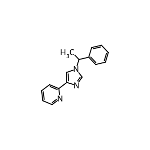 CC(c1ccccc1)n1cnc(-c2ccccn2)c1